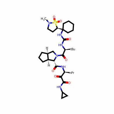 CCC[C@H](NC(=O)[C@@H]1[C@H]2CCC[C@H]2CN1C(=O)[C@@H](NC(=O)NC1([C@H]2CCN(C)S2(=O)=O)CCCCC1)C(C)(C)C)C(=O)C(=O)NC1CC1